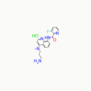 CN(CCCN)c1ccnc2c(NC(=O)c3ncccc3F)cccc12.Cl